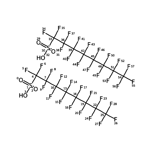 O=S(=O)(O)C(F)(F)C(F)(F)C(F)(F)C(F)(F)C(F)(F)C(F)(F)C(F)(F)C(F)(F)F.O=S(=O)(O)C(F)(F)C(F)(F)C(F)(F)C(F)(F)C(F)(F)C(F)(F)C(F)(F)C(F)(F)F